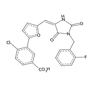 O=C(O)c1ccc(Cl)c(-c2ccc(C=C3NC(=O)N(Cc4ccccc4F)C3=O)o2)c1